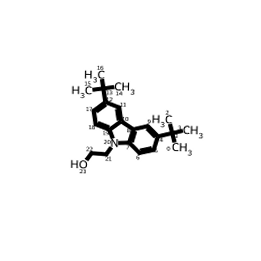 CC(C)(C)c1ccc2c(c1)c1cc(C(C)(C)C)ccc1n2CCO